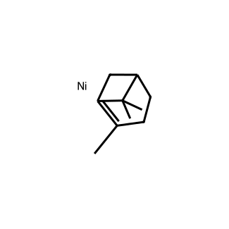 CC1=C2CC(CC1)C2(C)C.[Ni]